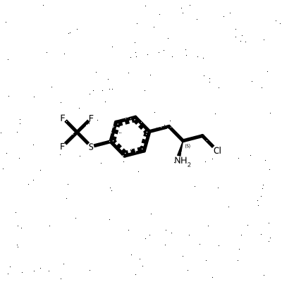 N[C@H](CCl)Cc1ccc(SC(F)(F)F)cc1